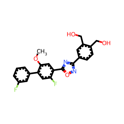 COc1cc(-c2nc(-c3ccc(CO)c(CO)c3)no2)c(F)cc1-c1cccc(F)c1